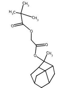 CC(C)(C)C(=O)OCC(=O)OC1(C)C2CC3CC(C2)CC1C3